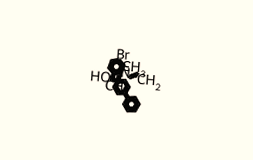 C=CCN(C)CC1(C(C)(O)c2ccc(Br)cc2)C=CC(c2ccccc2)=CC1